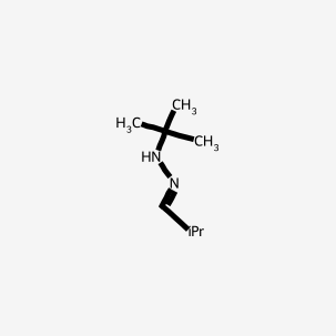 CC(C)/C=N/NC(C)(C)C